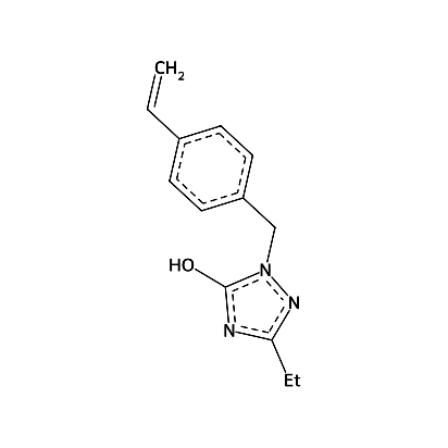 C=Cc1ccc(Cn2nc(CC)nc2O)cc1